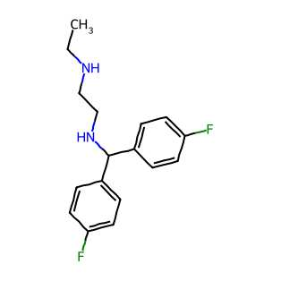 CCNCCNC(c1ccc(F)cc1)c1ccc(F)cc1